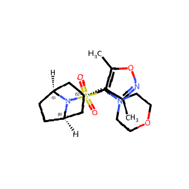 Cc1noc(C)c1S(=O)(=O)N1[C@@H]2CC[C@H]1C[C@H](CN1CCOCC1)C2